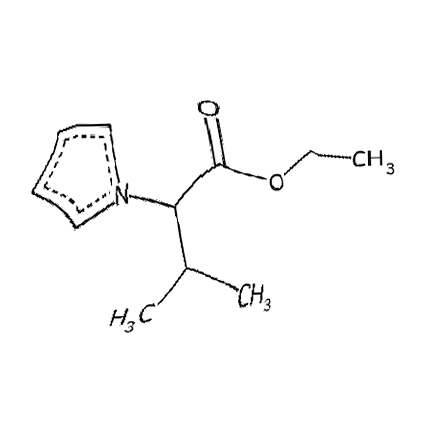 CCOC(=O)C(C(C)C)n1cccc1